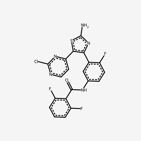 Nc1nc(-c2cc(NC(=O)c3c(F)cccc3F)ccc2F)c(-c2ccnc(Cl)n2)s1